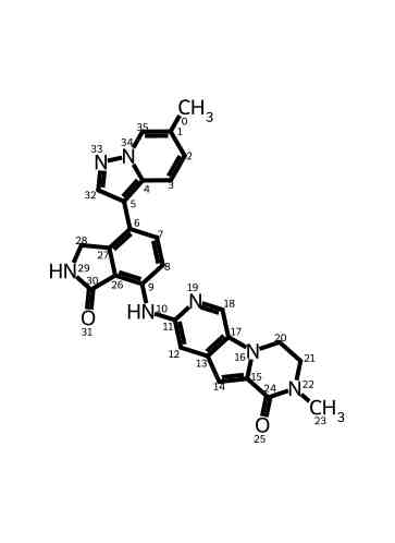 Cc1ccc2c(-c3ccc(Nc4cc5cc6n(c5cn4)CCN(C)C6=O)c4c3CNC4=O)cnn2c1